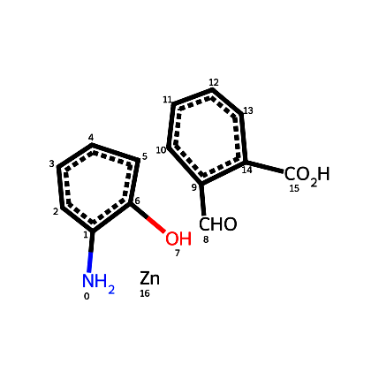 Nc1ccccc1O.O=Cc1ccccc1C(=O)O.[Zn]